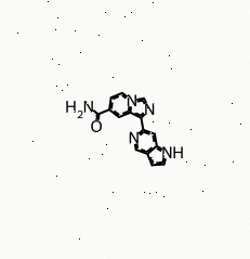 NC(=O)c1ccn2cnc(-c3cc4[nH]ccc4cn3)c2c1